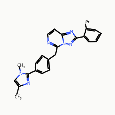 CC(C)c1ccccc1-c1nc2ccnc(Cc3ccc(-c4nc(C(F)(F)F)cn4C)cc3)n2n1